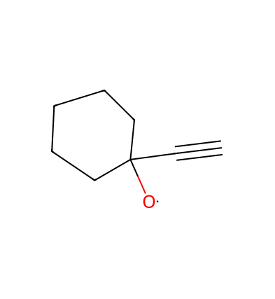 C#CC1([O])CCCCC1